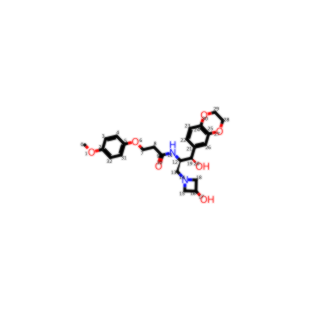 COc1ccc(OCCC(=O)N[C@H](CN2CC(O)C2)[C@H](O)c2ccc3c(c2)OCCO3)cc1